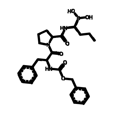 CCCC(NC(=O)C1CCCN1C(=O)C(Cc1ccccc1)NC(=O)OCc1ccccc1)B(O)O